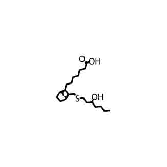 CCCCC(O)CCSCC1C2CCC(O2)C1CCCCCCC(=O)O